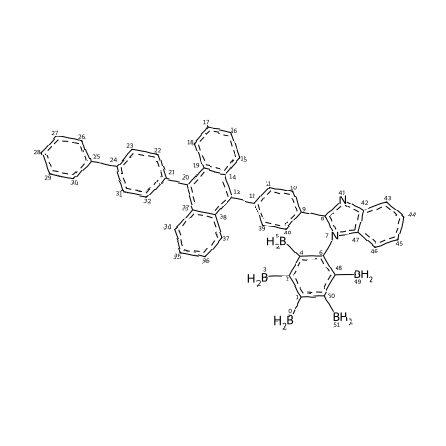 Bc1c(B)c(B)c(-n2c(-c3ccc(-c4c5ccccc5c(-c5ccc(-c6ccccc6)cc5)c5ccccc45)cc3)nc3ccccc32)c(B)c1B